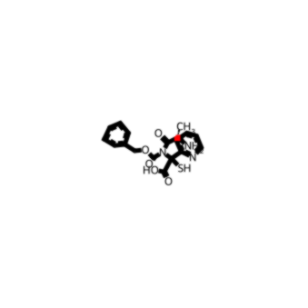 C[C@H](N)C(=O)N(C(=O)OCc1ccccc1)C(S)(C(=O)O)c1ccccn1